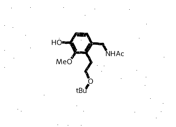 COc1c(O)ccc(CNC(C)=O)c1CCOC(C)(C)C